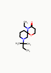 CCN1C(=O)CCOC12CCCN(C(C)(C)CC)C2